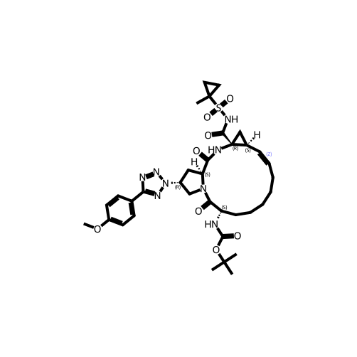 COc1ccc(-c2nnn([C@@H]3C[C@H]4C(=O)N[C@]5(C(=O)NS(=O)(=O)C6(C)CC6)C[C@H]5/C=C\CCCCC[C@H](NC(=O)OC(C)(C)C)C(=O)N4C3)n2)cc1